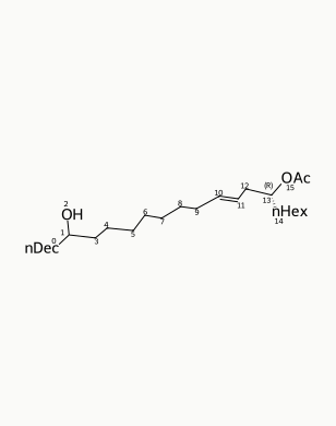 CCCCCCCCCCC(O)CCCCCCCC=CC[C@@H](CCCCCC)OC(C)=O